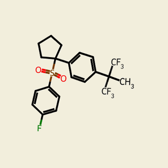 CC(c1ccc(C2(S(=O)(=O)c3ccc(F)cc3)CCCC2)cc1)(C(F)(F)F)C(F)(F)F